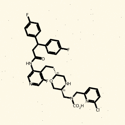 O=C(CC(c1ccc(F)cc1)c1ccc(F)cc1)Nc1cncc(F)c1CC[C@@H]1CN[C@@H](CN(Cc2cccc(Cl)n2)C(=O)O)CO1